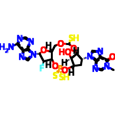 Cn1cnc2c(ncn2[C@@H]2C[C@@H]3OP(=S)(S)O[C@H]4[C@@H](F)[C@H](n5cnc6c(N)ncnc65)O[C@@H]4COC(S)O[C@@H]2[C@@H]3O)c1=O